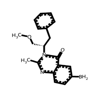 Bc1ccc2nc(C)n([C@H](COC)Cc3ccccc3)c(=O)c2c1